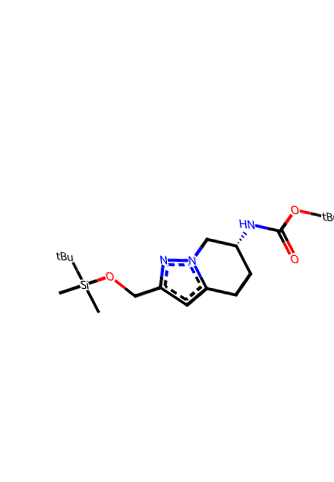 CC(C)(C)OC(=O)N[C@@H]1CCc2cc(CO[Si](C)(C)C(C)(C)C)nn2C1